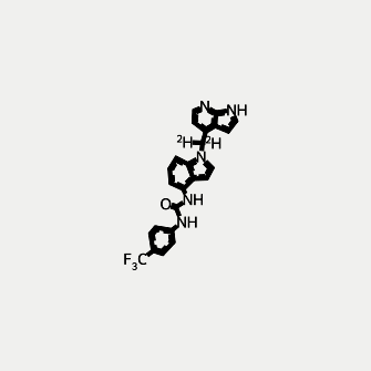 [2H]C([2H])(c1ccnc2[nH]ccc12)n1ccc2c(NC(=O)Nc3ccc(C(F)(F)F)cc3)cccc21